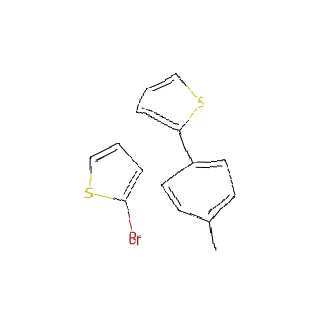 Brc1cccs1.Cc1ccc(-c2cccs2)cc1